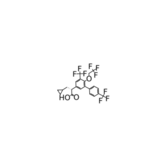 O=C(O)[C@H](CC1CC1)c1cc(-c2ccc(C(F)(F)F)cc2)c(OCC(F)(F)F)c(C(F)(F)F)c1